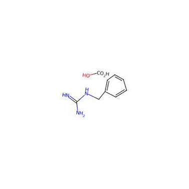 N=C(N)NCc1ccccc1.O=C(O)O